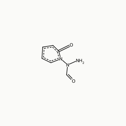 NN(C=O)n1ccccc1=O